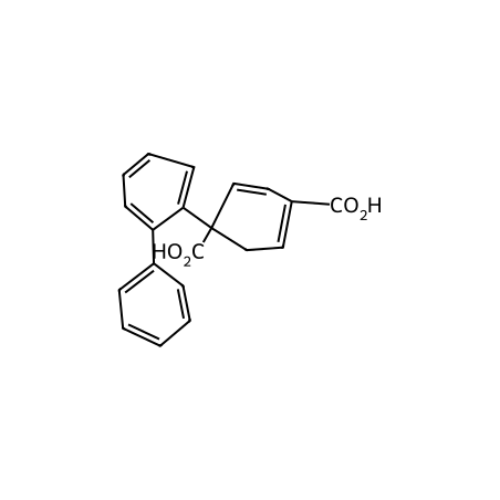 O=C(O)C1=CCC(C(=O)O)(c2ccccc2-c2ccccc2)C=C1